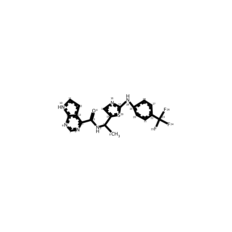 CC(NC(=O)c1ncnc2[nH]ccc12)c1cnc(Nc2ccc(C(F)(F)F)cc2)s1